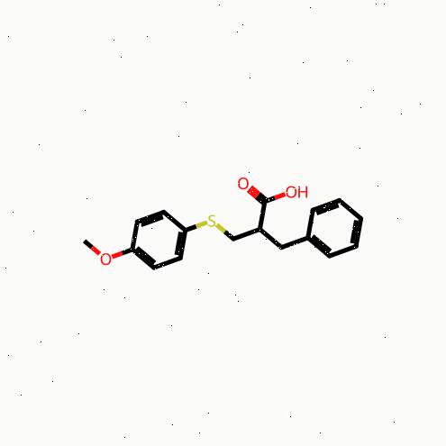 COc1ccc(SCC(Cc2ccccc2)C(=O)O)cc1